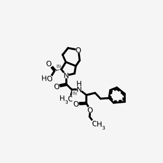 CCOC(=O)C(CCc1ccccc1)N[C@@H](C)C(=O)N1CC2COCCC2[C@H]1C(=O)O